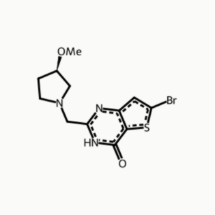 CO[C@@H]1CCN(Cc2nc3cc(Br)sc3c(=O)[nH]2)C1